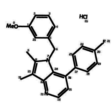 COc1cccc(Cn2c(C)c(C)c3nccc(-c4ccc(F)cc4)c32)c1.Cl